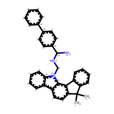 CC1(C)c2ccccc2-c2c1ccc1c3ccccc3n(CNC(N)c3ccc(-c4ccccc4)cc3)c21